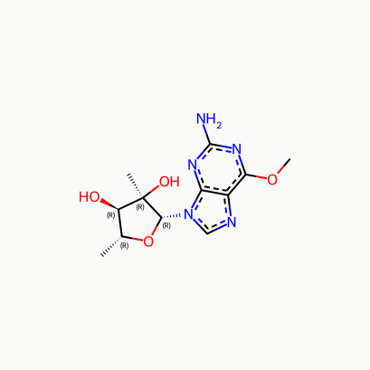 COc1nc(N)nc2c1ncn2[C@@H]1O[C@H](C)[C@@H](O)[C@@]1(C)O